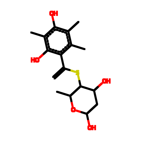 C=C(SC1C(O)CC(O)OC1C)c1c(C)c(C)c(O)c(C)c1O